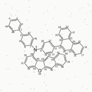 c1ccc(-c2ccc(N(c3ccc(-c4cc5ccccc5c5ccccc45)cc3)c3cccc4oc5cc6ccccc6cc5c34)cc2)cc1